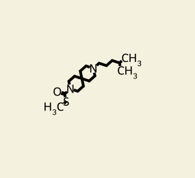 CSC(=O)N1CCC2(CCN(CCCC(C)C)CC2)CC1